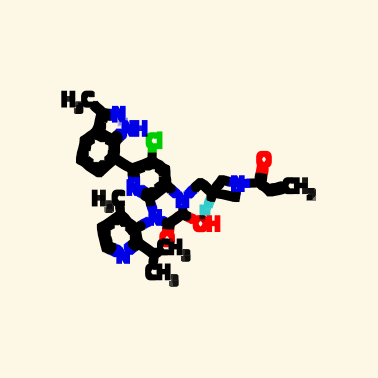 C=CC(=O)N1CC(F)(CN2c3cc(Cl)c(-c4cccc5c(C)n[nH]c45)nc3N(c3c(C)ccnc3C(C)C)C(=O)C2O)C1